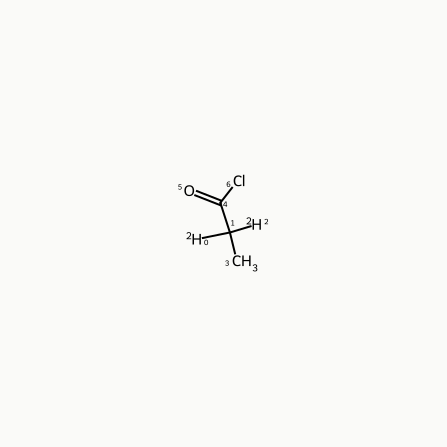 [2H]C([2H])(C)C(=O)Cl